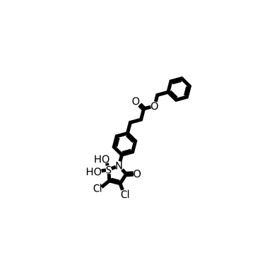 O=C(CCc1ccc(N2C(=O)C(Cl)=C(Cl)S2(O)O)cc1)OCc1ccccc1